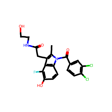 Cc1c(CC(=O)NCCO)c2c(F)c(O)ccc2n1C(=O)c1ccc(Cl)c(Cl)c1